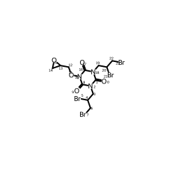 O=c1n(CC(Br)CBr)c(=O)n(OCC2CO2)c(=O)n1CC(Br)CBr